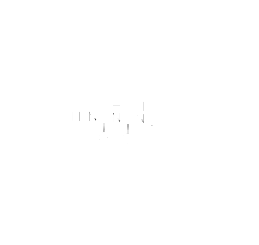 CC(NC(=O)NC(N)=O)(C1CCCCC1)C1CCCCC1